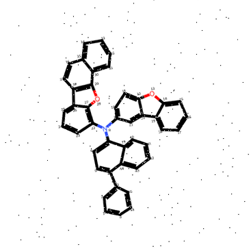 c1ccc(-c2ccc(N(c3ccc4oc5ccccc5c4c3)c3cccc4c3oc3c5ccccc5ccc43)c3ccccc23)cc1